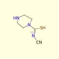 N#C/N=C(\S)N1CCNCC1